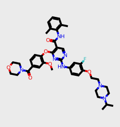 COc1cc(C(=O)N2CCOCC2)ccc1Oc1nc(Nc2ccc(OCCN3CCN(C(C)C)CC3)c(F)c2)ncc1C(=O)Nc1c(C)cccc1C